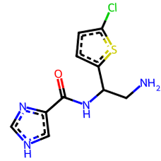 NCC(NC(=O)c1c[nH]cn1)c1ccc(Cl)s1